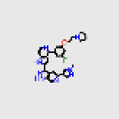 Cn1cc(-c2cc3c(-c4cc5c(-c6cc(F)cc(OCCN7CCCC7)c6)nccc5[nH]4)n[nH]c3cn2)cn1